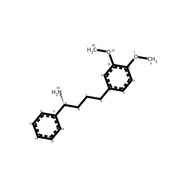 COc1ccc(CCC[C@@H](N)c2ccccc2)cc1OC